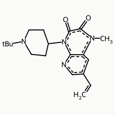 C=Cc1cnc2c(c1)n(C)c(=O)c(=O)n2C1CCN(C(C)(C)C)CC1